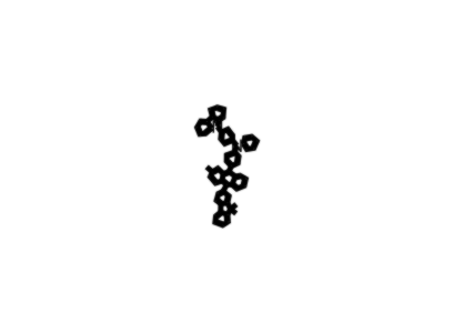 Cc1ccc2c(-c3ccc4c(c3)C(C)(C)c3ccccc3-4)c3ccccc3c(-c3ccc(N(c4ccccc4)c4ccc(-n5c6ccccc6c6ccccc65)cc4)cc3)c2c1